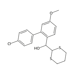 COc1ccc(C(O)C2SCCCS2)c(-c2ccc(Cl)cc2)c1